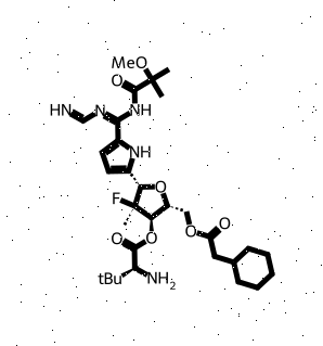 COC(C)(C)C(=O)N/C(=N/C=N)c1ccc([C@@H]2O[C@H](COC(=O)CC3CCCCC3)[C@@H](OC(=O)[C@@H](N)C(C)(C)C)[C@@]2(C)F)[nH]1